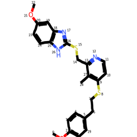 COc1ccc(CCSc2ccnc(CSc3nc4cc(OC)ccc4[nH]3)c2C)cc1